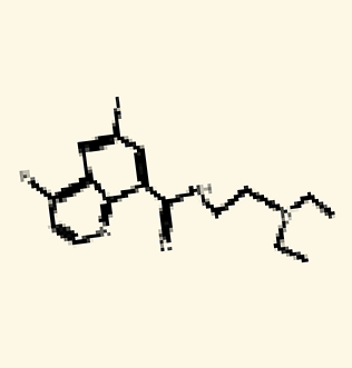 CCN(CC)CCNC(=O)c1cc(I)cc2c(F)ccnc12